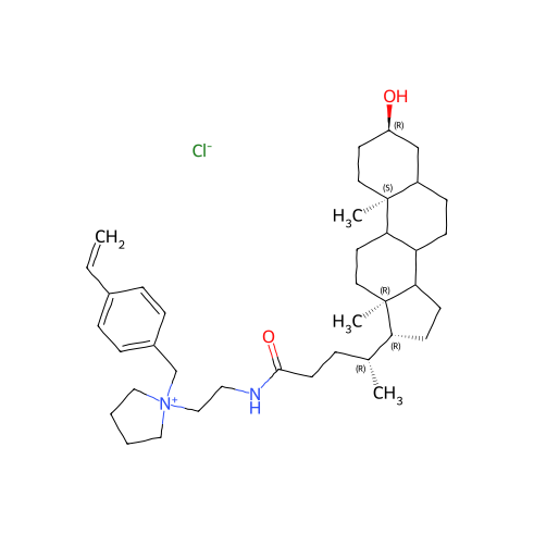 C=Cc1ccc(C[N+]2(CCNC(=O)CC[C@@H](C)[C@H]3CCC4C5CCC6C[C@H](O)CC[C@]6(C)C5CC[C@@]43C)CCCC2)cc1.[Cl-]